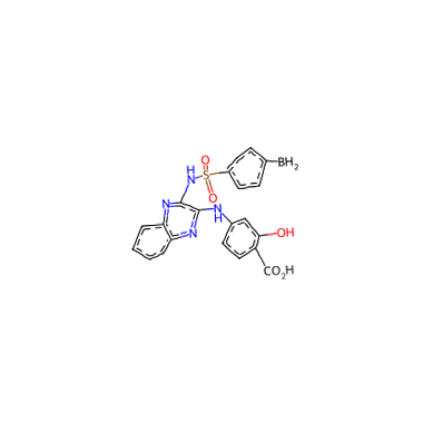 Bc1ccc(S(=O)(=O)Nc2nc3ccccc3nc2Nc2ccc(C(=O)O)c(O)c2)cc1